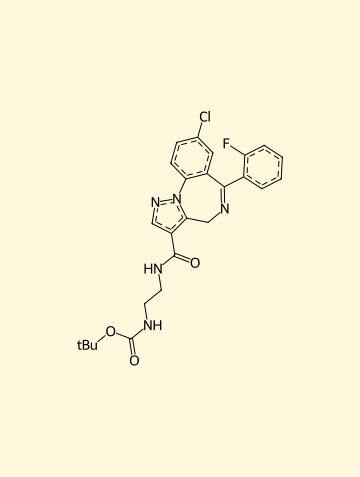 CC(C)(C)OC(=O)NCCNC(=O)c1cnn2c1CN=C(c1ccccc1F)c1cc(Cl)ccc1-2